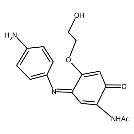 CC(=O)NC1=CC(=Nc2ccc(N)cc2)C(OCCO)=CC1=O